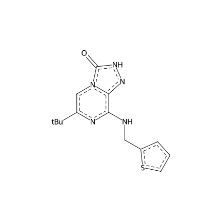 CC(C)(C)c1cn2c(=O)[nH]nc2c(NCc2cccs2)n1